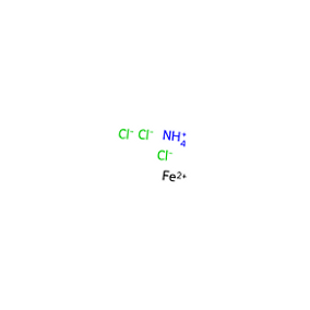 [Cl-].[Cl-].[Cl-].[Fe+2].[NH4+]